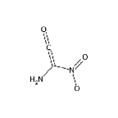 NC(=C=O)[N+](=O)[O-]